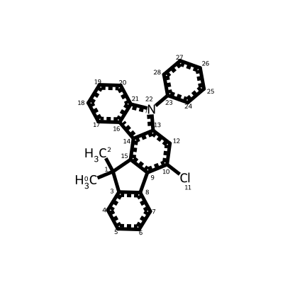 CC1(C)c2ccccc2-c2c(Cl)cc3c(c21)c1ccccc1n3-c1ccccc1